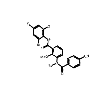 CCN(C(=O)c1ccc(C#N)cc1)c1cccc(C(=O)Nc2c(Cl)cc(F)cc2Br)c1OC